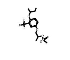 CCC(C)Oc1ccc(OCC(C)OS(C)(=O)=O)cc1C(F)(F)F